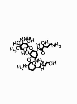 CN[C@@H]1[C@@H](O)[C@@H](O[C@@H]2[C@@H](O)[C@H](O[C@H]3O[C@H](CNCCO)CC[C@H]3N)[C@@H](N)C[C@H]2NC(=O)C(O)CCN)OC[C@]1(C)O